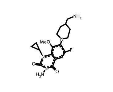 COc1c(N2CCC(CN)CC2)c(F)cc2c(=O)n(N)c(=O)n(C3CC3)c12